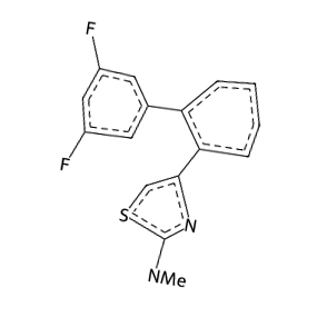 CNc1nc(-c2ccccc2-c2cc(F)cc(F)c2)cs1